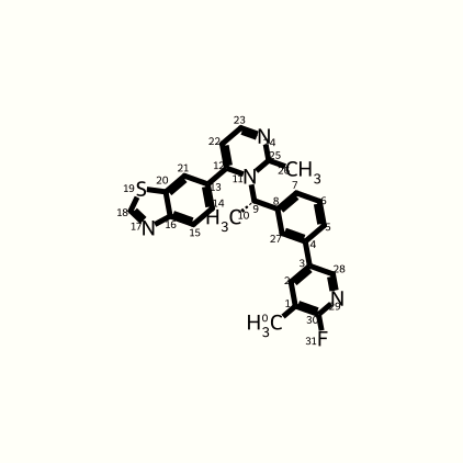 Cc1cc(-c2cccc([C@H](C)N3C(c4ccc5ncsc5c4)=CC=NC3C)c2)cnc1F